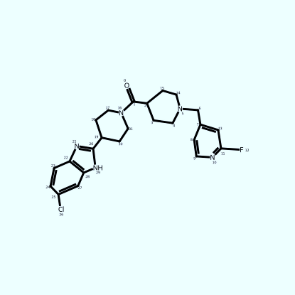 O=C(C1CCN(Cc2ccnc(F)c2)CC1)N1CCC(c2nc3ccc(Cl)cc3[nH]2)CC1